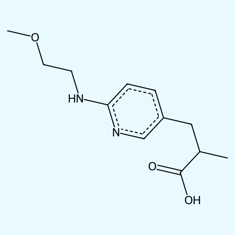 COCCNc1ccc(CC(C)C(=O)O)cn1